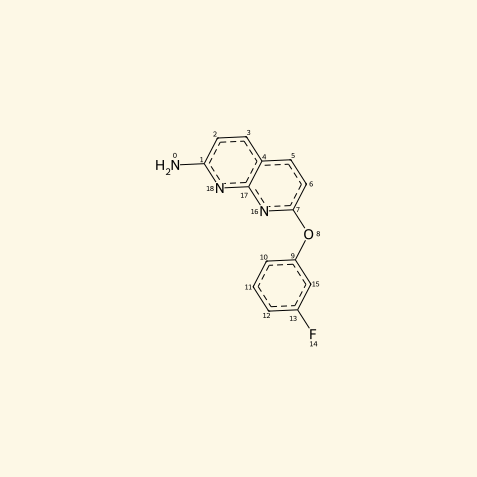 Nc1ccc2ccc(Oc3cccc(F)c3)nc2n1